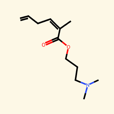 C=CCC=C(C)C(=O)OCCCN(C)C